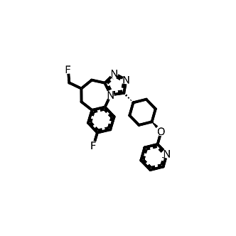 FCC1Cc2cc(F)ccc2-n2c(nnc2[C@H]2CC[C@H](Oc3ccccn3)CC2)C1